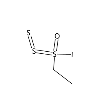 CCS(=O)(I)=S=S